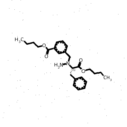 CCCCOC(=O)c1cccc(CN(N)[C@@H](Cc2ccccc2)C(=O)OCCCC)c1